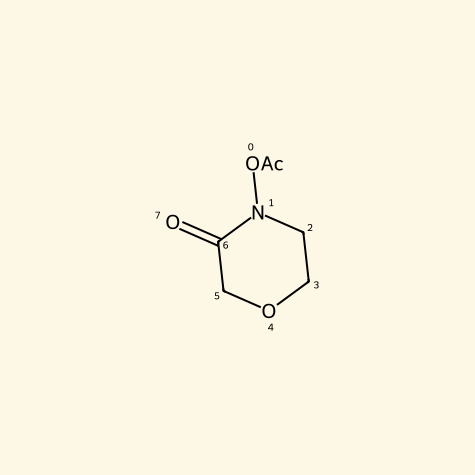 CC(=O)ON1CCOCC1=O